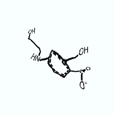 O=[N+]([O-])c1ccc(NCCO)cc1O